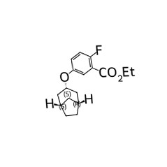 CCOC(=O)c1cc(O[C@@H]2C[C@@H]3CC[C@@H](C3)C2)ccc1F